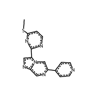 CSc1ccnc(-c2cnc3cnc(-c4ccncc4)cn23)n1